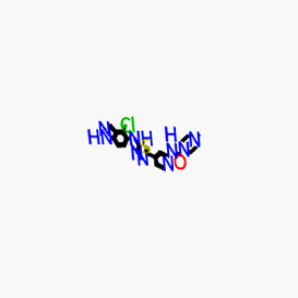 CN1CCN(C(=O)Nc2cc(-c3nnc(Nc4ccc5[nH]ncc5c4Cl)s3)ccn2)CC1